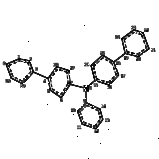 c1ccc(-c2ccc(N(c3ccccc3)c3ccc(-c4ccccc4)cc3)cc2)cc1